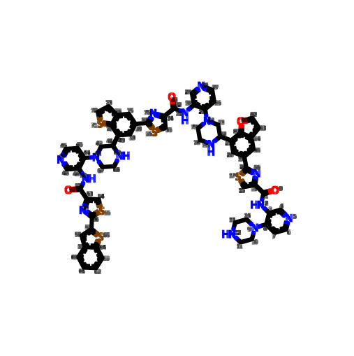 O=C(Nc1cnccc1N1CCNCC1)c1csc(-c2cc(C3CN(c4ccncc4NC(=O)c4csc(-c5cc(C6CN(c7ccncc7NC(=O)c7csc(-c8cc9ccccc9s8)n7)CCN6)c6sccc6c5)n4)CCN3)c3occc3c2)n1